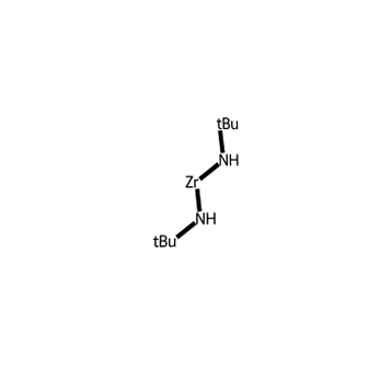 CC(C)(C)[NH][Zr][NH]C(C)(C)C